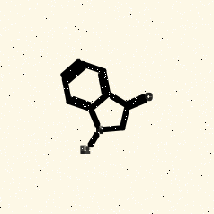 CCN1CC(=O)c2cc#ccc21